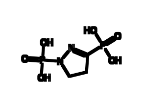 O=P(O)(O)C1=NN(P(=O)(O)O)CC1